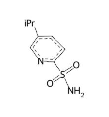 CC(C)c1ccc(S(N)(=O)=O)nc1